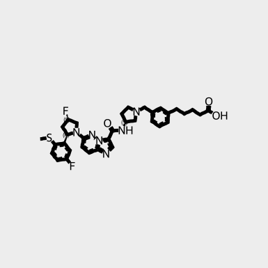 CSc1ccc(F)cc1[C@H]1C[C@H](F)CN1c1ccc2ncc(C(=O)N[C@H]3CCN(Cc4cccc(CCCCC(=O)O)c4)C3)n2n1